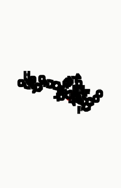 COCOc1cc(-c2ncc3c(N4CCCC(C)(C(=O)OC(C)(C)C)C4)nc(OCC4(CN5CCN(CC6CCC7(CC6)CCN(C(=O)c6ccc(C)c(N8CCC(=O)NC8=O)c6)CC7)CC5)CC4)nc3c2F)c2c(C#C[Si](C(C)C)(C(C)C)C(C)C)c(F)ccc2c1